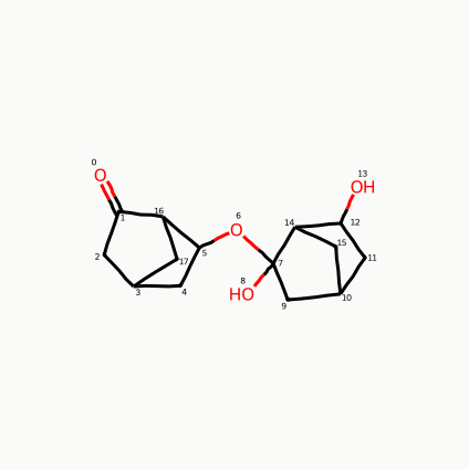 O=C1CC2CC(OC3(O)CC4CC(O)C3C4)C1C2